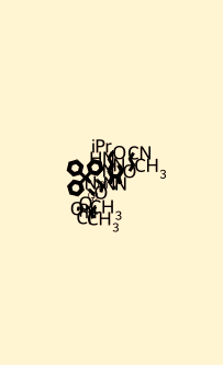 CC(CC#N)Oc1nc(NC(=O)C(C)C)nc2c1ncn2[C@H]1CN(C(c2ccccc2)(c2ccccc2)c2ccccc2)C[C@@H](COP(=O)(Cl)N(C)C)O1